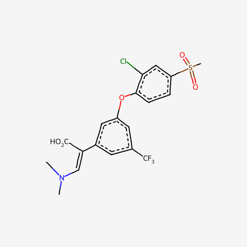 CN(C)C=C(C(=O)O)c1cc(Oc2ccc(S(C)(=O)=O)cc2Cl)cc(C(F)(F)F)c1